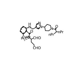 CCCC(CCC)C(=O)N1CCC(n2cc(CNc3cccc(C=O)c3C(=O)N(C)C(C=O)CCC=O)cn2)CC1